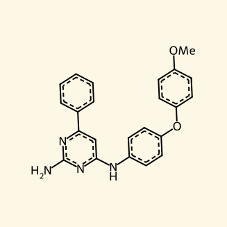 COc1ccc(Oc2ccc(Nc3cc(-c4ccccc4)nc(N)n3)cc2)cc1